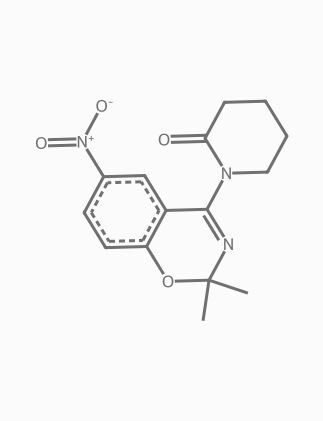 CC1(C)N=C(N2CCCCC2=O)c2cc([N+](=O)[O-])ccc2O1